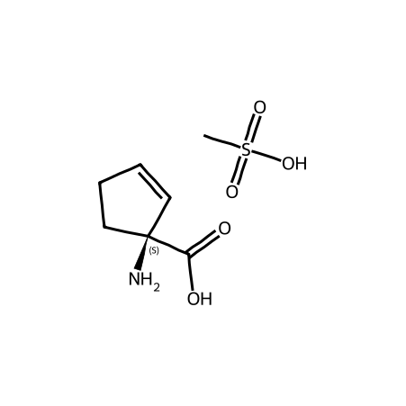 CS(=O)(=O)O.N[C@]1(C(=O)O)C=CCC1